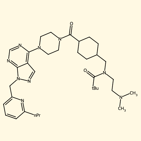 CCCc1cccc(Cn2ncc3c(N4CCN(C(=O)C5CCC(CN(CCN(C)C)C(=O)C(C)(C)C)CC5)CC4)ncnc32)n1